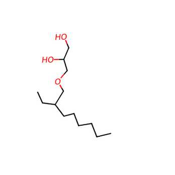 CCCCCCC(CC)COCC(O)CO